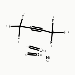 FC(F)(F)C#CC(F)(F)F.[C]=O.[C]=O.[Ni]